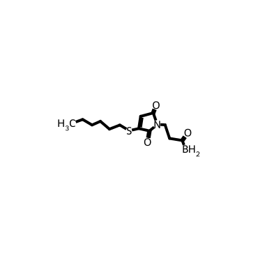 BC(=O)CCN1C(=O)C=C(SCCCCCC)C1=O